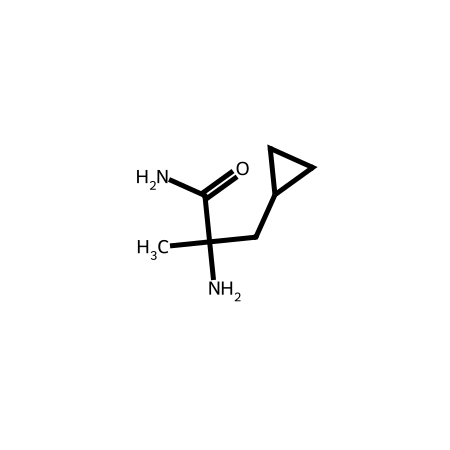 CC(N)(CC1CC1)C(N)=O